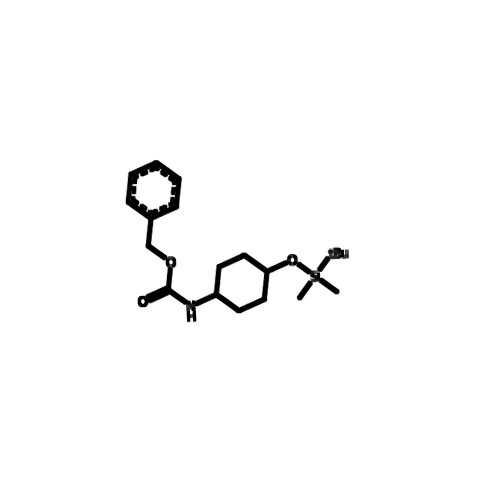 CC(C)(C)[Si](C)(C)OC1CCC(NC(=O)OCc2ccccc2)CC1